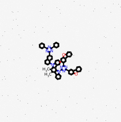 Cc1c(C)c2c(c3ccccc3n2-c2cccc3cc(-c4nc(-c5ccccc5)nc(-c5ccccc5)n4)ccc23)c2c1c1ccccc1n2-c1nc(-c2ccc3oc4ccccc4c3c2)nc(-c2ccc3oc4ccccc4c3c2)n1